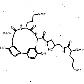 CNCCC[C@H](NC)C(=O)NCC(O)CNC(=O)[C@@H]1Cc2cc(ccc2O)-c2ccc(O)c(c2)C[C@H](NC)C(=O)N[C@@H](CCCNC)C(=O)N1